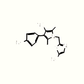 Cc1c(C#N)c(-c2ccc(C#N)cc2)c(C)n1Cc1ncc(C#N)s1